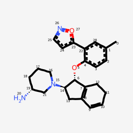 Cc1ccc(O[C@@H]2C3=C(C=CCC3)C[C@H]2N2CCC[C@@H](N)C2)c(-c2ccno2)c1